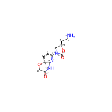 NCC[C@@H]1CN(c2ccc3c(n2)NC(=O)CO3)C(=O)O1